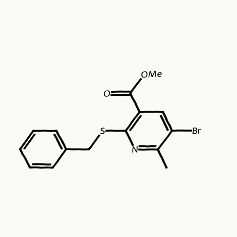 COC(=O)c1cc(Br)c(C)nc1SCc1ccccc1